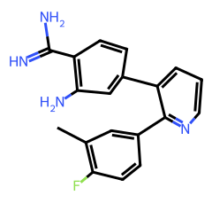 Cc1cc(-c2ncccc2-c2ccc(C(=N)N)c(N)c2)ccc1F